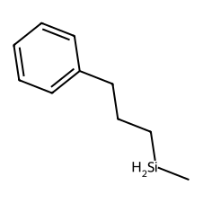 C[SiH2]CCCc1ccccc1